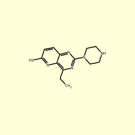 CCc1nc(N2CCNCC2)nc2ccc(S)nc12